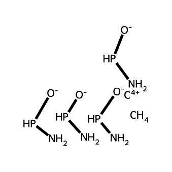 C.NP[O-].NP[O-].NP[O-].NP[O-].[C+4]